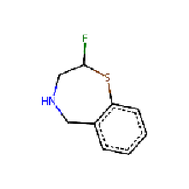 FC1CNCc2ccccc2S1